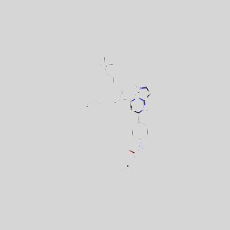 CC(C)(C)OC(=O)NC1CCC(c2cc(N(COCC[Si](C)(C)C)COCC[Si](C)(C)C)n3nccc3n2)CC1